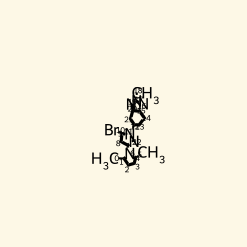 Cc1ccc(C)n1-c1cc(Br)n(-c2ccc3nn(C)nc3c2)n1